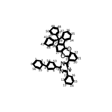 c1ccc(-c2ccc(-c3nc(-c4ccccc4)nc(-c4cccc5c4Oc4ccc6c(c4O5)-c4ccccc4C6(c4ccccc4)c4ccccc4)n3)cc2)cc1